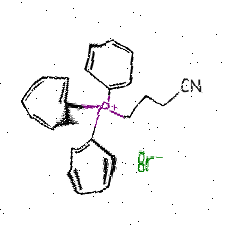 N#CCCC[P+](c1ccccc1)(c1ccccc1)c1ccccc1.[Br-]